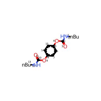 CCCCNC(=O)Oc1ccc(OC(=O)NCCCC)cc1